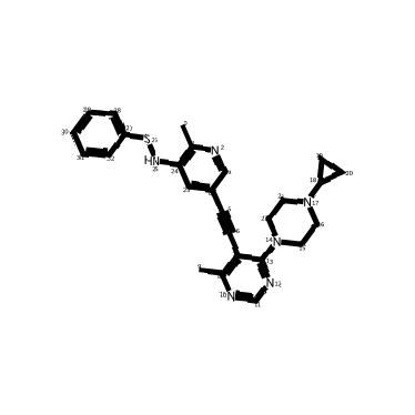 Cc1ncc(C#Cc2c(C)ncnc2N2CCN(C3CC3)CC2)cc1NSc1ccccc1